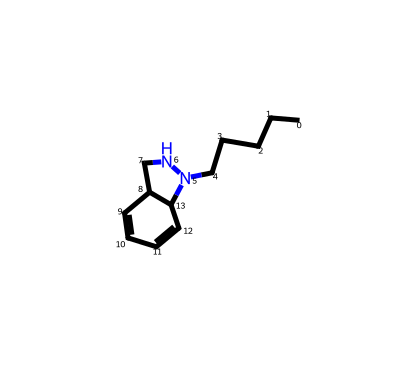 CCCCCN1NCC2C=CC=CC21